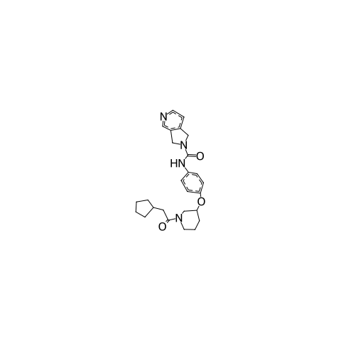 O=C(CC1CCCC1)N1CCCC(Oc2ccc(NC(=O)N3Cc4ccncc4C3)cc2)C1